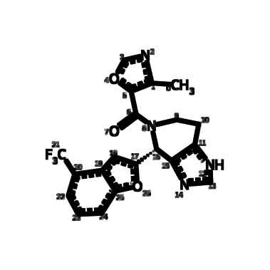 Cc1ncoc1C(=O)N1CCc2[nH]cnc2[C@@H]1c1cc2c(C(F)(F)F)cccc2o1